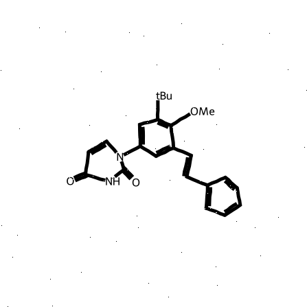 COc1c(C=Cc2ccccc2)cc(-n2ccc(=O)[nH]c2=O)cc1C(C)(C)C